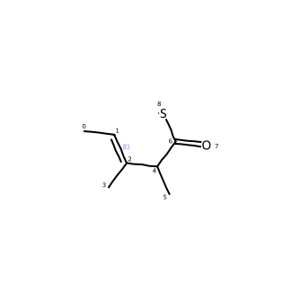 C/C=C(\C)C(C)C(=O)[S]